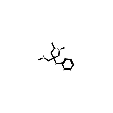 CCCC(COC)(COC)Cc1ccccc1